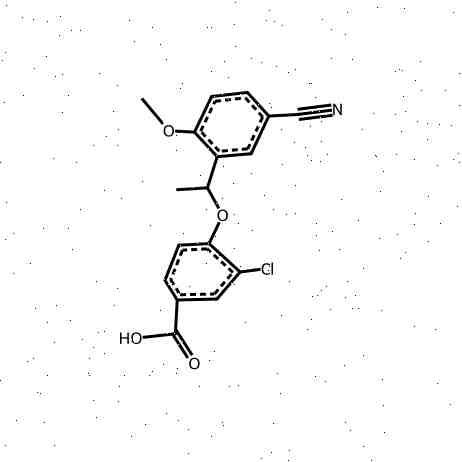 COc1ccc(C#N)cc1C(C)Oc1ccc(C(=O)O)cc1Cl